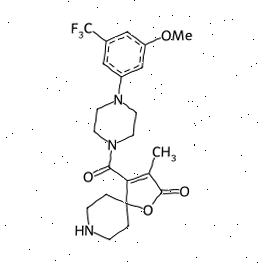 COc1cc(N2CCN(C(=O)C3=C(C)C(=O)OC34CCNCC4)CC2)cc(C(F)(F)F)c1